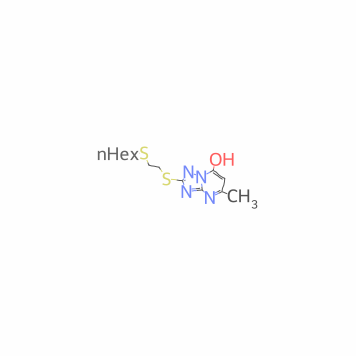 CCCCCCSCCSc1nc2nc(C)cc(O)n2n1